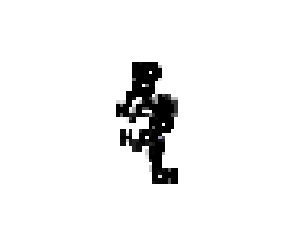 C/C(=N\OCCO)c1ccc2nnc([C@@H](C)c3cc4cccnc4cc3F)n2n1